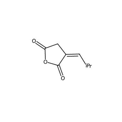 CC(C)C=C1CC(=O)OC1=O